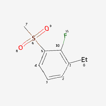 CCc1[c]ccc(S(C)(=O)=O)c1F